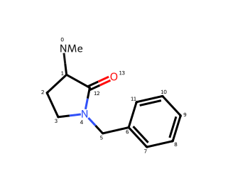 CNC1CCN(Cc2ccccc2)C1=O